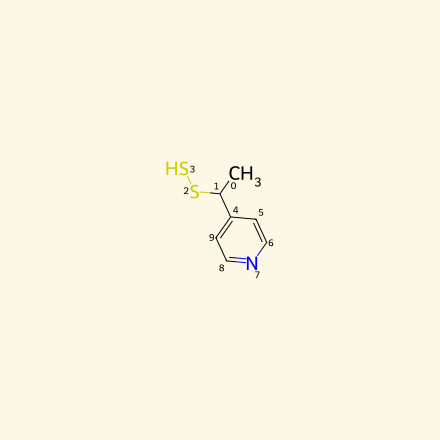 CC(SS)c1ccncc1